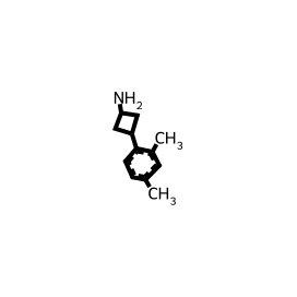 Cc1ccc(C2CC(N)C2)c(C)c1